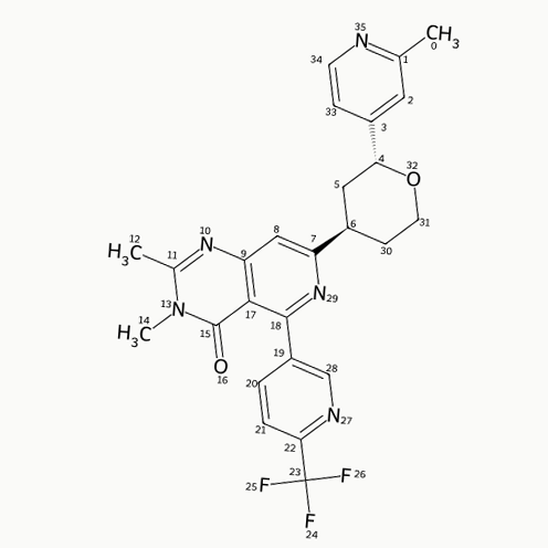 Cc1cc([C@H]2C[C@H](c3cc4nc(C)n(C)c(=O)c4c(-c4ccc(C(F)(F)F)nc4)n3)CCO2)ccn1